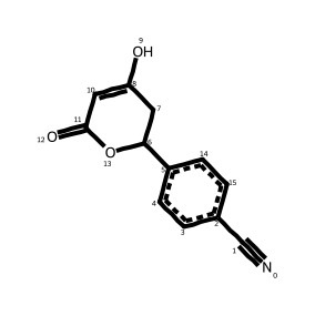 N#Cc1ccc(C2CC(O)=CC(=O)O2)cc1